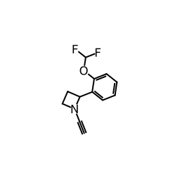 C#CN1CCC1c1ccccc1OC(F)F